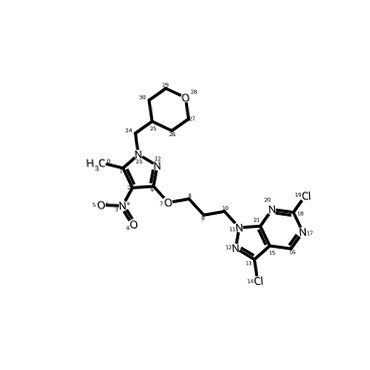 Cc1c([N+](=O)[O-])c(OCCCn2nc(Cl)c3cnc(Cl)nc32)nn1CC1CCOCC1